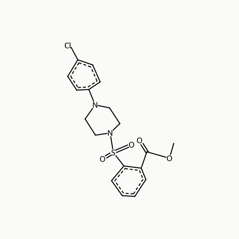 COC(=O)c1ccccc1S(=O)(=O)N1CCN(c2ccc(Cl)cc2)CC1